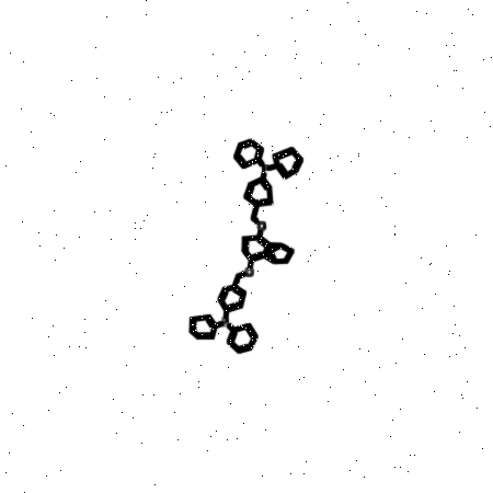 c1ccc(P(c2ccccc2)c2ccc(COc3ccc(OCc4ccc(P(c5ccccc5)c5ccccc5)cc4)c4c3C3CCC4C3)cc2)cc1